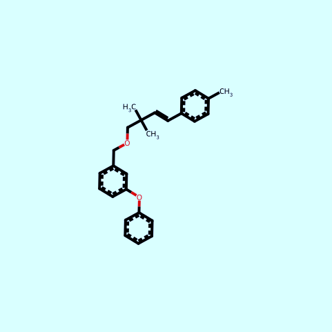 Cc1ccc(C=CC(C)(C)COCc2cccc(Oc3ccccc3)c2)cc1